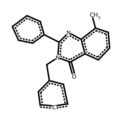 Cc1cccc2c(=O)n(Cc3ccccc3)c(-c3ccccc3)nc12